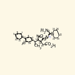 CC(c1ccc(-c2ccccc2)c(F)c1)c1noc(/N=C(\N)N2CCCCC2)c1CC(=O)O